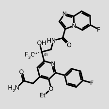 CCOc1c(CC(N)=O)cc([C@@](O)(CNC(=O)c2cnc3ccc(F)cn23)C(F)(F)F)nc1-c1ccc(F)cc1